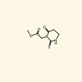 COC(=O)CN1C(=O)CCNC1=S